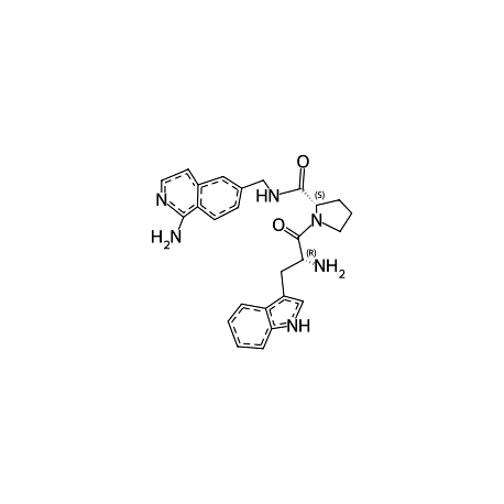 Nc1nccc2cc(CNC(=O)[C@@H]3CCCN3C(=O)[C@H](N)Cc3c[nH]c4ccccc34)ccc12